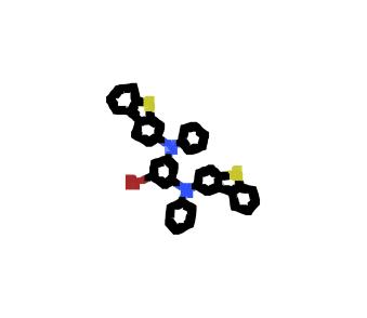 Brc1cc(N(c2ccccc2)c2ccc3c(c2)sc2ccccc23)cc(N(c2ccccc2)c2ccc3sc4ccccc4c3c2)c1